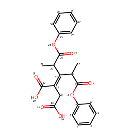 CC(C(=O)Oc1ccccc1)C(=C(CC(=O)O)C(=O)O)C(C)C(=O)Oc1ccccc1